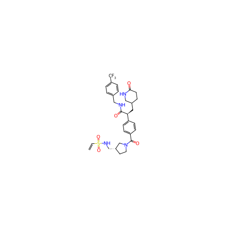 C=CS(=O)(=O)NC[C@H]1CCN(C(=O)c2ccc([C@H](CC3CCC(=O)NC3)C(=O)NCc3ccc(C(F)(F)F)cc3)cc2)C1